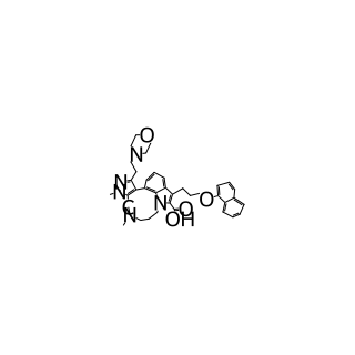 CN1CCCn2c(C(=O)O)c(CCCOc3cccc4ccccc34)c3cccc(c32)-c2c(CCN3CCOCC3)nn(C)c2C1